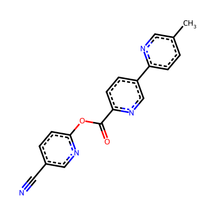 Cc1ccc(-c2ccc(C(=O)Oc3ccc(C#N)cn3)nc2)nc1